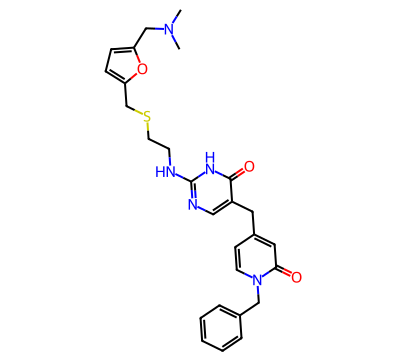 CN(C)Cc1ccc(CSCCNc2ncc(Cc3ccn(Cc4ccccc4)c(=O)c3)c(=O)[nH]2)o1